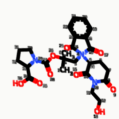 CC(C)(C[N+]1([C@H]2CCC(=O)N(CCO)C2=O)C(=O)c2ccccc2C1=O)OC(=O)N1CCCC1C(=O)O